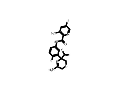 NC1=NC(c2cc(NC(=O)c3ncc(Cl)cc3O)ccc2F)(C(F)F)COC1